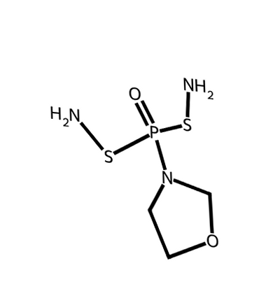 NSP(=O)(SN)N1CCOC1